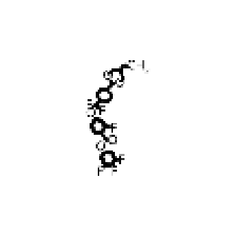 C=CC1COC(C2CCC(C(F)(F)Oc3ccc(C(=O)Oc4cc(F)c(F)c(F)c4)c(F)c3)CC2)OC1